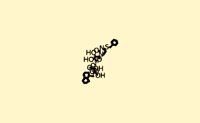 O=c1nc(SCc2ccccc2)ccn1[C@@H]1O[C@H](COP(=O)(O)OP(=O)(O)Cc2cccc3ccccc23)[C@H](O)C1O